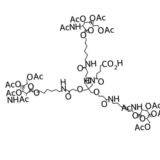 CC(=O)NC1C(OC(C)=O)[C@H](OC(C)=O)C(COC(C)=O)O[C@H]1OCCCCCCNC(=O)CCOCC(CNC(=O)CCCC(=O)O)(COCCC(=O)NCCCCCCO[C@@H]1OC(COC(C)=O)[C@@H](OC(C)=O)C(OC(C)=O)C1NC(C)=O)COCCC(=O)NCCCCCCO[C@@H]1OC(COC(C)=O)[C@@H](OC(C)=O)C(OC(C)=O)C1NC(C)=O